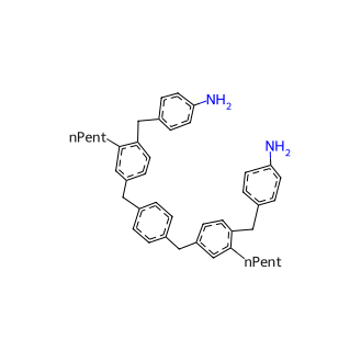 CCCCCc1cc(Cc2ccc(Cc3ccc(Cc4ccc(N)cc4)c(CCCCC)c3)cc2)ccc1Cc1ccc(N)cc1